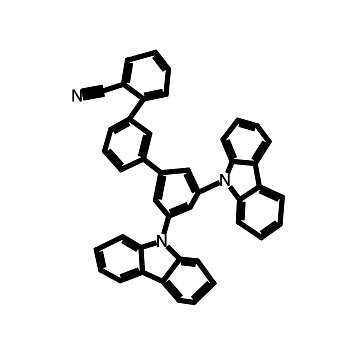 N#Cc1ccccc1-c1cccc(-c2cc(-n3c4ccccc4c4ccccc43)cc(-n3c4ccccc4c4ccccc43)c2)c1